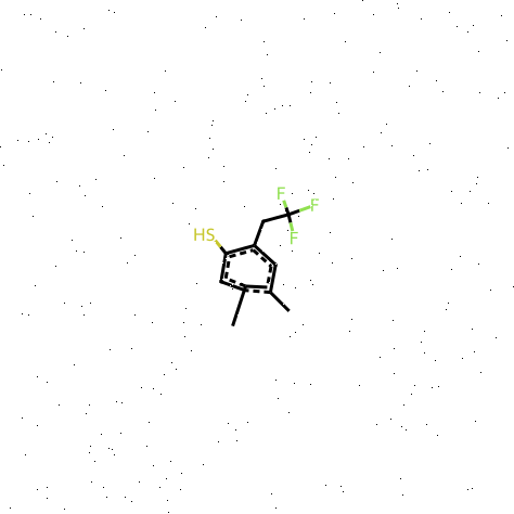 Cc1cc(S)c(CC(F)(F)F)cc1C